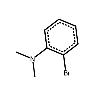 CN(C)c1c[c]ccc1Br